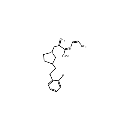 C=C(CN1CCC(COc2ccccc2F)C1)/C(=N\C=C/N)OC